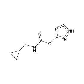 O=C(NCC1CC1)Oc1cc[nH]n1